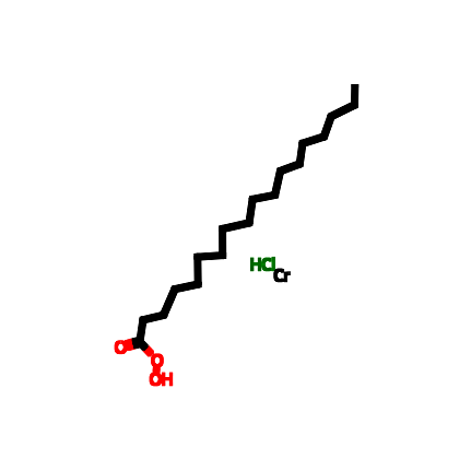 CCCCCCCCCCCCCCCCCC(=O)OO.Cl.[Cr]